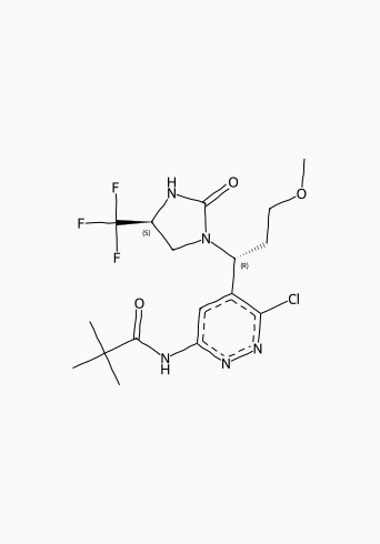 COCC[C@H](c1cc(NC(=O)C(C)(C)C)nnc1Cl)N1C[C@@H](C(F)(F)F)NC1=O